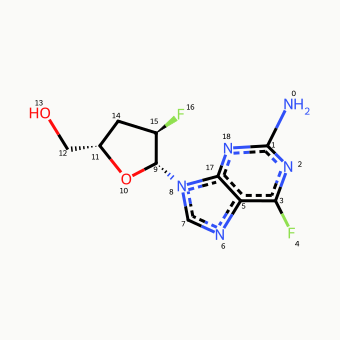 Nc1nc(F)c2ncn([C@@H]3O[C@H](CO)C[C@H]3F)c2n1